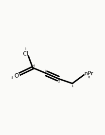 CCCCC#CC(=O)Cl